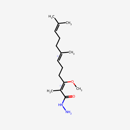 CO/C(CC/C=C(\C)CCC=C(C)C)=C(/C)C(=O)NN